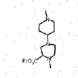 CCOC(=O)C1CN(C2CCN(C)CC2)CCN1C